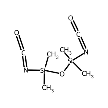 C[Si](C)(N=C=O)O[Si](C)(C)N=C=O